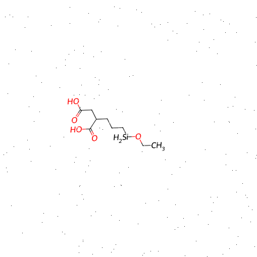 CCO[SiH2]CCCC(CC(=O)O)C(=O)O